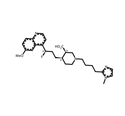 COc1ccc2nccc([C@H](F)CC[C@@H]3CCN(CCCCc4nccn4C)C[C@@H]3C(=O)O)c2c1